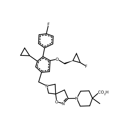 CC1(C(=O)O)CCN(C2=NOC3(C2)CN(Cc2cc(OC[C@H]4CC4F)c(-c4ccc(F)cc4)c(C4CC4)c2)C3)CC1